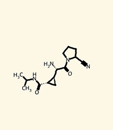 CC(C)NC(=O)[C@H]1C[C@@H]1[C@H](N)C(=O)N1CCCC1C#N